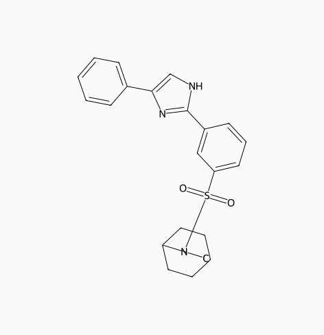 O=S(=O)(c1cccc(-c2nc(-c3ccccc3)c[nH]2)c1)N1CC2CCC(CC2)C1